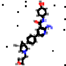 Nc1ncc(-c2ccc([C@@]34C[C@@H]3CN(CC3COC3)C4)cc2)cc1C(=O)NC1CCC(O)CC1